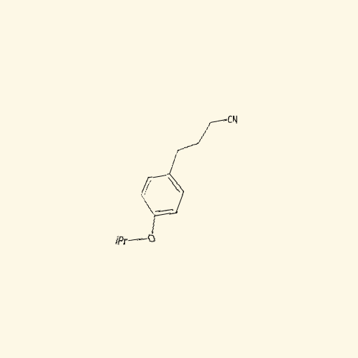 CC(C)Oc1ccc(CCCC#N)cc1